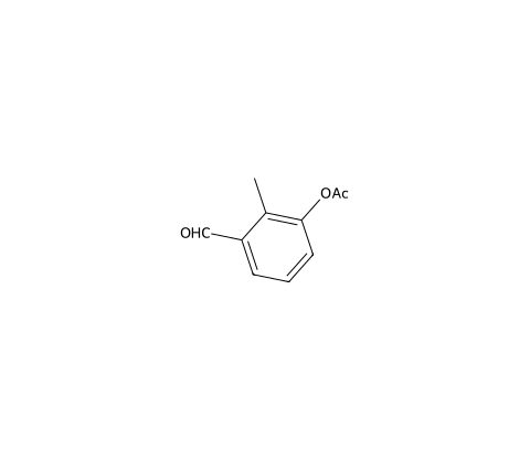 CC(=O)Oc1cccc(C=O)c1C